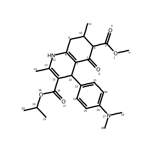 COC(=O)C1C(=O)C2=C(CC1C)NC(C)=C(C(=O)OC(C)C)C2c1ccc(N(C)C)cc1